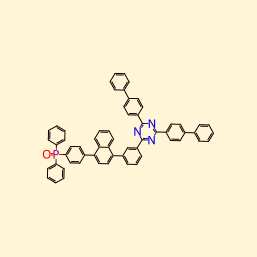 O=P(c1ccccc1)(c1ccccc1)c1ccc(-c2ccc(-c3cccc(-c4nc(-c5ccc(-c6ccccc6)cc5)nc(-c5ccc(-c6ccccc6)cc5)n4)c3)c3ccccc23)cc1